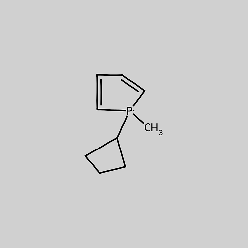 C[P]1(C2CCC2)C=CC=C1